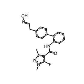 Cc1nn(C)c(F)c1C(=O)Nc1ccccc1-c1ccc(CC=NO)cc1